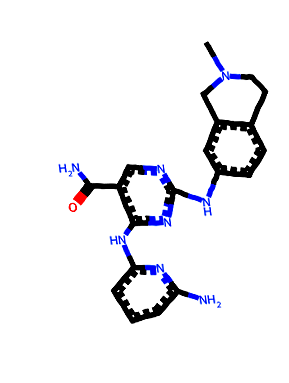 CN1CCc2ccc(Nc3ncc(C(N)=O)c(Nc4cccc(N)n4)n3)cc2C1